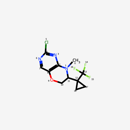 CN1c2nc(Cl)ncc2OCC1C1(C(F)(F)F)CC1